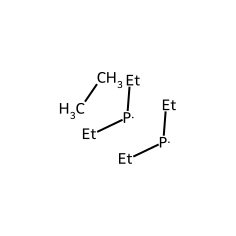 CC.CC[P]CC.CC[P]CC